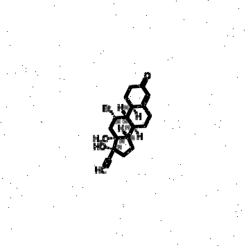 C#C[C@]1(O)CC[C@H]2[C@@H]3CCC4=CC(=O)CC[C@@H]4[C@H]3[C@@H](CC)C[C@@]21C